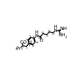 CC(C)C(Cc1ccc(NC(=O)CCCCNC(=N)N)cc1)C(=O)O